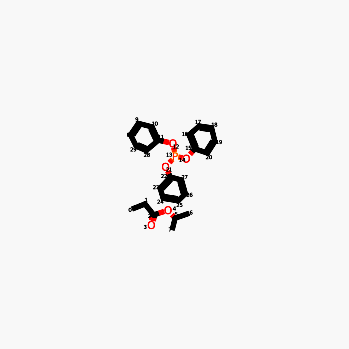 CCC(=O)OC(C)C.c1ccc(OP(Oc2ccccc2)Oc2ccccc2)cc1